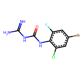 N=C(N)NC(=O)Nc1c(F)cc(Br)cc1Cl